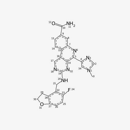 Cn1cnc(-c2nc3cc(C(N)=O)ccc3c3cnc(NCc4c(F)ccc5c4CCO5)nc23)c1